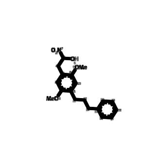 COc1cc(CC(O)[N+](=O)[O-])c(OC)cc1CCCc1ccccc1